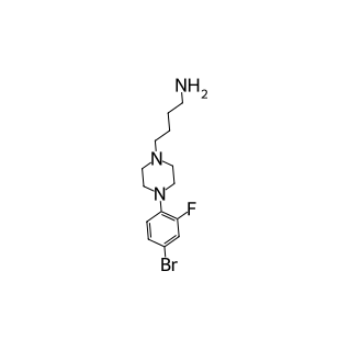 NCCCCN1CCN(c2ccc(Br)cc2F)CC1